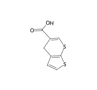 O=C(O)C1=CSc2sccc2C1